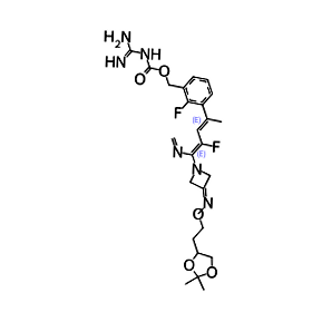 C=N/C(=C(F)\C=C(/C)c1cccc(COC(=O)NC(=N)N)c1F)N1CC(=NOCCC2COC(C)(C)O2)C1